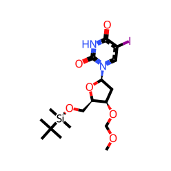 COCO[C@@H]1C[C@H](n2cc(I)c(=O)[nH]c2=O)O[C@@H]1CO[Si](C)(C)C(C)(C)C